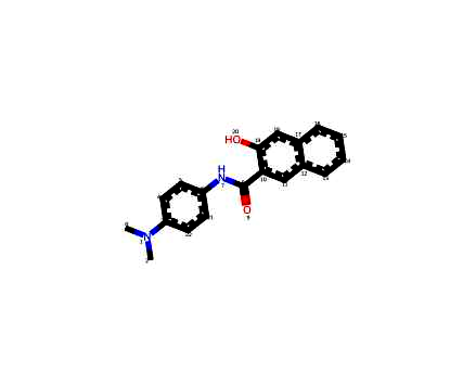 CN(C)c1ccc(NC(=O)c2cc3ccccc3cc2O)cc1